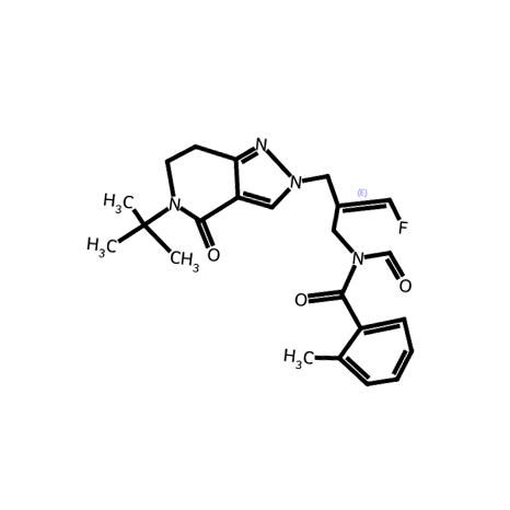 Cc1ccccc1C(=O)N(C=O)C/C(=C\F)Cn1cc2c(n1)CCN(C(C)(C)C)C2=O